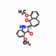 COc1cccc2c1C(=O)/C(=C1\Nc3cccc(OC)c3C1=O)C=CC2